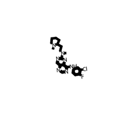 CN(CCC1CCCCN1C)c1ncc2ncnc(Nc3ccc(F)c(Cl)c3)c2n1